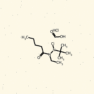 CCCCC(=O)N(CC)N(Cl)C(C)(C)C.Cl.O=CO